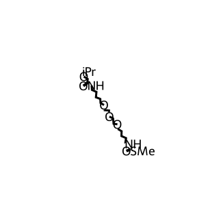 CSC(=O)NCCCCCOCCOCCOCCCCCNC(=O)COC(C)C